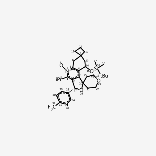 CC(C)c1c2c(c3c([n+]1[O-])CC1(CCC1)CC3O[Si](C)(C)C(C)(C)C)C1(CCOCC1)O[C@@H]2c1ccc(C(F)(F)F)nc1